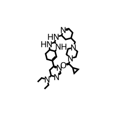 CCN(CC)C1CC(C2=CC3NC(NC4CC(CN5CCN(C(=O)C6CC6)CC5)CC=N4)NC3CC2)=NC=N1